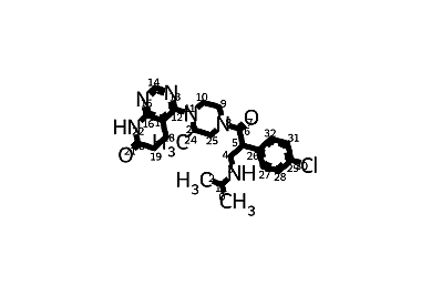 CC(C)NCC(C(=O)N1CCN(c2ncnc3c2CCC(=O)N3)[C@@H](C)C1)c1ccc(Cl)cc1